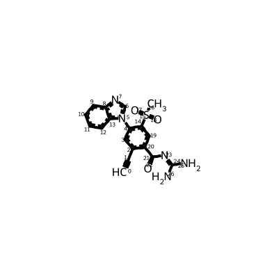 C#Cc1cc(-n2cnc3ccccc32)c(S(C)(=O)=O)cc1C(=O)N=C(N)N